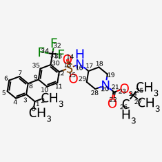 CC(C)c1ccccc1-c1ccc(S(=O)(=O)NC2CCN(C(=O)OC(C)(C)C)CC2)c(C(F)(F)F)c1